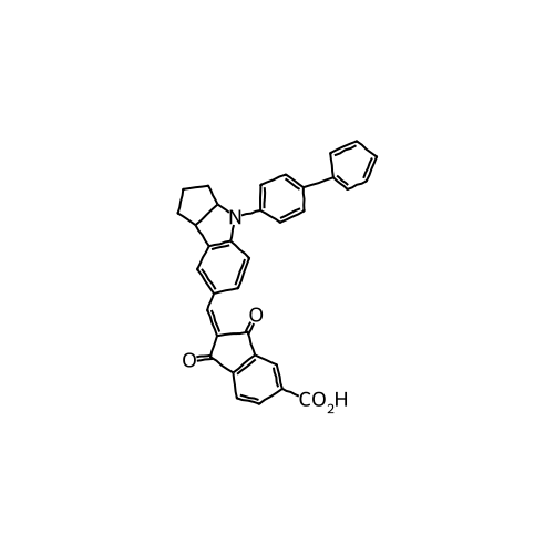 O=C(O)c1ccc2c(c1)C(=O)/C(=C\c1ccc3c(c1)C1CCCC1N3c1ccc(-c3ccccc3)cc1)C2=O